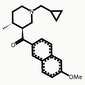 COc1ccc2cc(C(=O)[C@@H]3CN(CC4CC4)CC[C@H]3C)ccc2c1